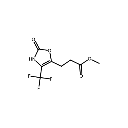 COC(=O)CCc1oc(=O)[nH]c1C(F)(F)F